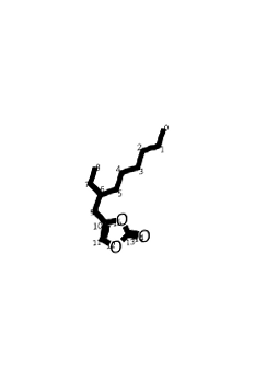 CCCCCCC(CC)Cc1coc(=O)o1